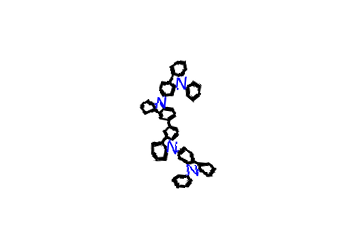 c1ccc(-n2c3ccccc3c3ccc(-n4c5ccccc5c5cc(-c6ccc7c(c6)c6ccccc6n7-c6ccc7c8ccccc8n(-c8ccccc8)c7c6)ccc54)cc32)cc1